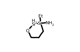 CC[Si]1(N)CCCO[SiH2]1